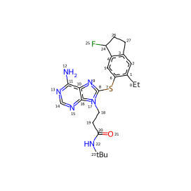 CCc1cc2c(cc1Sc1nc3c(N)ncnc3n1CCC(=O)NC(C)(C)C)C(F)CC2